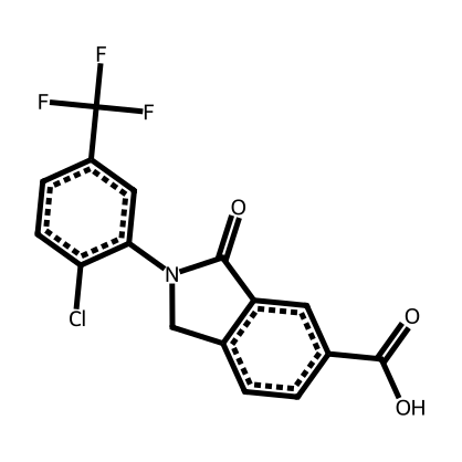 O=C(O)c1ccc2c(c1)C(=O)N(c1cc(C(F)(F)F)ccc1Cl)C2